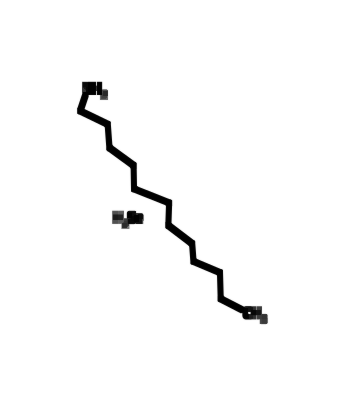 CCCCCCCCCCCCN.[SeH2]